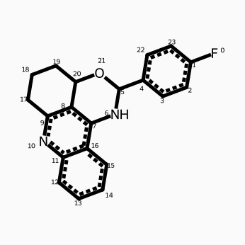 Fc1ccc(C2Nc3c4c(nc5ccccc35)CCCC4O2)cc1